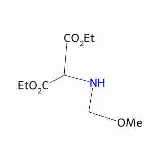 CCOC(=O)C(NCOC)C(=O)OCC